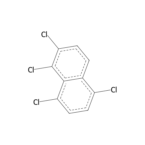 Clc1ccc2c(Cl)ccc(Cl)c2c1Cl